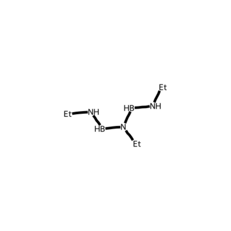 CCNBN(BNCC)CC